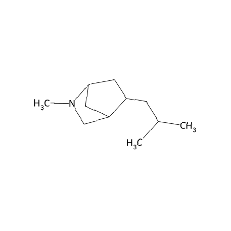 CC(C)CC1CC2CC1CN2C